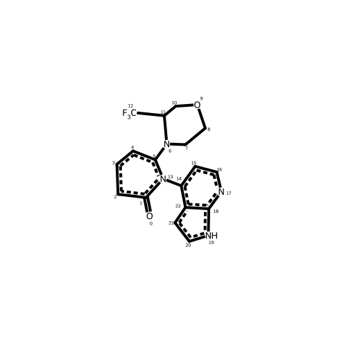 O=c1cccc(N2CCOCC2C(F)(F)F)n1-c1ccnc2[nH]ccc12